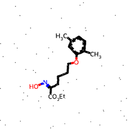 CCOC(=O)C(CCCCOc1cc(C)ccc1C)=NO